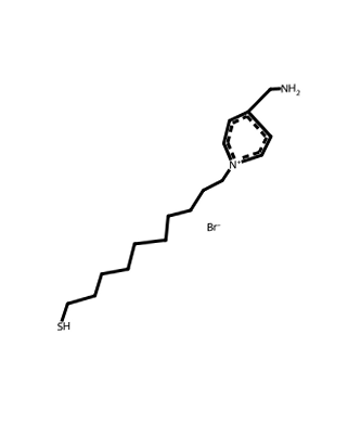 NCc1cc[n+](CCCCCCCCCCS)cc1.[Br-]